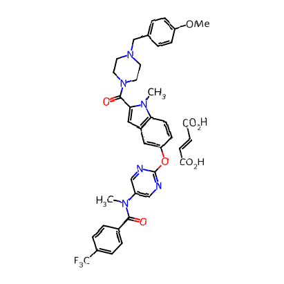 COc1ccc(CN2CCN(C(=O)c3cc4cc(Oc5ncc(N(C)C(=O)c6ccc(C(F)(F)F)cc6)cn5)ccc4n3C)CC2)cc1.O=C(O)C=CC(=O)O